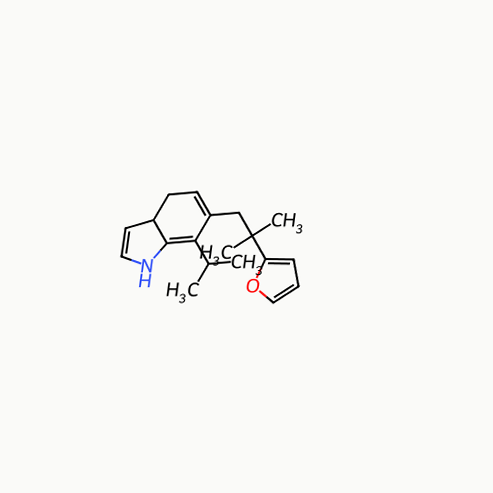 CC(C)C1=C2NC=CC2CC=C1CC(C)(C)c1ccco1